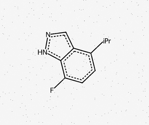 CC(C)c1ccc(F)c2[nH]ncc12